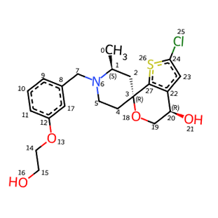 C[C@H]1C[C@@]2(CCN1Cc1cccc(OCCO)c1)OC[C@H](O)c1cc(Cl)sc12